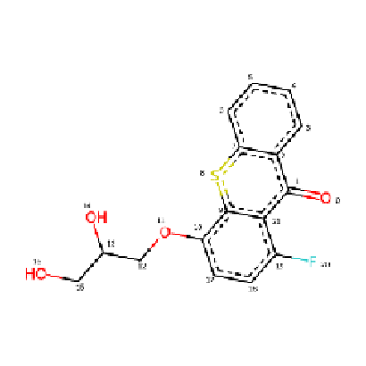 O=c1c2ccccc2sc2c(OCC(O)CO)ccc(F)c12